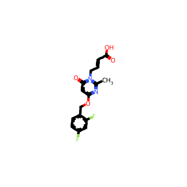 Cc1nc(OCc2ccc(F)cc2F)cc(=O)n1C/C=C/C(=O)O